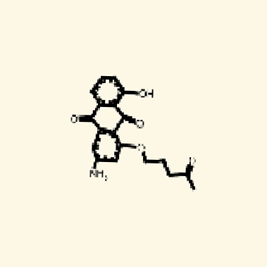 CC(=O)CCCOc1cc(N)cc2c1C(=O)c1c(O)cccc1C2=O